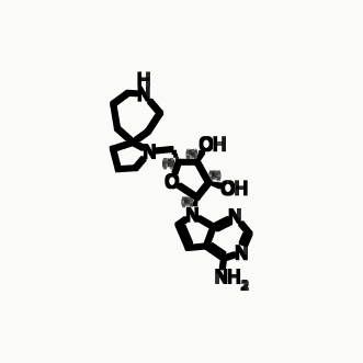 Nc1ncnc2c1ccn2[C@@H]1O[C@H](CN2CCCC23CCCNCC3)[C@@H](O)[C@H]1O